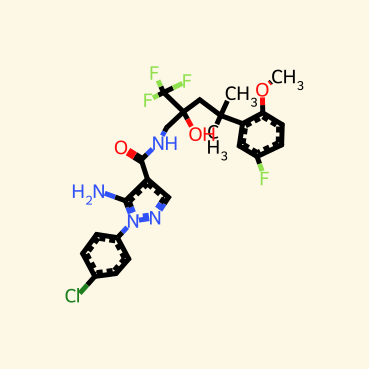 COc1ccc(F)cc1C(C)(C)CC(O)(CNC(=O)c1cnn(-c2ccc(Cl)cc2)c1N)C(F)(F)F